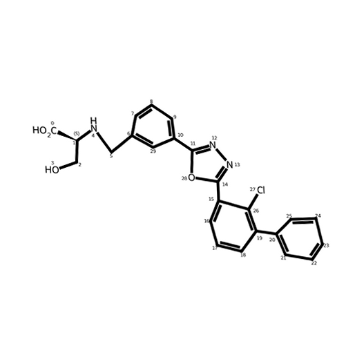 O=C(O)[C@H](CO)NCc1cccc(-c2nnc(-c3cccc(-c4ccccc4)c3Cl)o2)c1